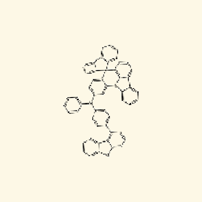 c1ccc(N(c2ccc(-c3cccc4oc5ccccc5c34)cc2)c2ccc3c(c2)-n2c4ccccc4c4cccc(c42)C32c3ccccc3-c3ccccc32)cc1